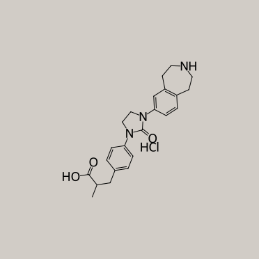 CC(Cc1ccc(N2CCN(c3ccc4c(c3)CCNCC4)C2=O)cc1)C(=O)O.Cl